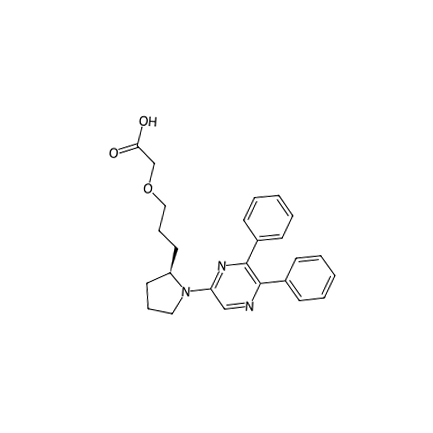 O=C(O)COCCC[C@@H]1CCCN1c1cnc(-c2ccccc2)c(-c2ccccc2)n1